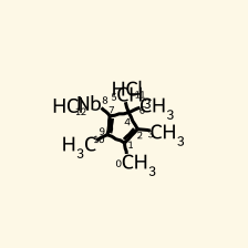 CC1=C(C)C(C)(C)[C]([Nb])=C1C.Cl.Cl